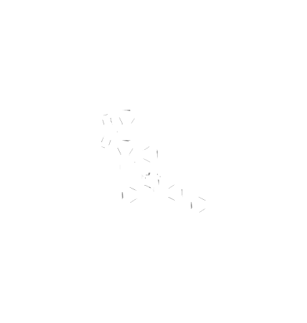 CC1(C)c2ccc3c(c2-c2cccc(-c4nc(-c5ccccc5)nc(-c5ccc(-c6ccccc6)cc5)n4)c21)Oc1ccccc1C31c2ccccc2-c2ccccc21